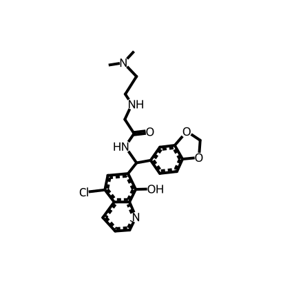 CN(C)CCNCC(=O)NC(c1ccc2c(c1)OCO2)c1cc(Cl)c2cccnc2c1O